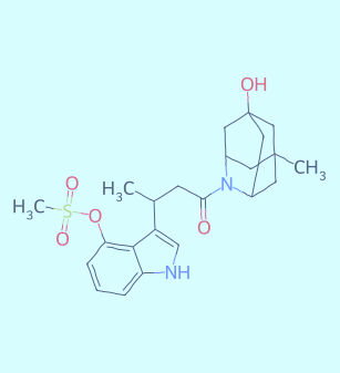 CC(CC(=O)N1C2CC3(C)CC1CC(O)(C2)C3)c1c[nH]c2cccc(OS(C)(=O)=O)c12